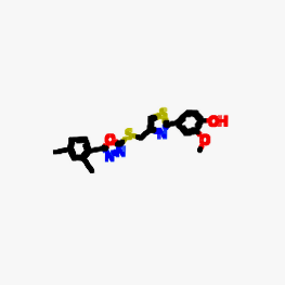 COc1cc(-c2nc(CSc3nnc(-c4ccc(C)cc4C)o3)cs2)ccc1O